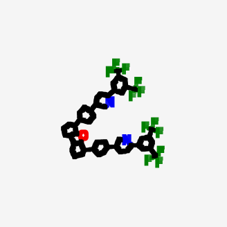 FC(F)(F)c1cc(-c2ccc(-c3ccc(-c4cccc5c4oc4c(-c6ccc(-c7ccc(-c8cc(C(F)(F)F)cc(C(F)(F)F)c8)nc7)cc6)cccc45)cc3)cn2)cc(C(F)(F)F)c1